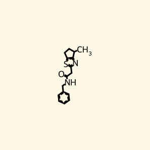 CC1CCc2sc(CC(=O)NCc3ccccc3)nc21